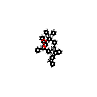 CC1(C)c2ccccc2-c2cc3c4ccccc4n(-c4ccc(-c5cc(-c6ccccc6)nc(-c6ccccc6)n5)cc4-c4nc(-c5ccccc5)cc(-c5cccc(-c6cc7c8c(c6)N(c6ccccc6)c6ccccc6B8c6ccccc6N7c6ccccc6)c5)n4)c3cc21